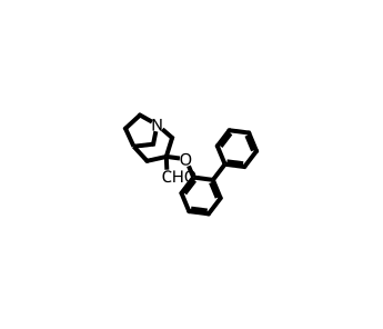 O=[C]C1(Oc2ccccc2-c2ccccc2)CC2CCN(C2)C1